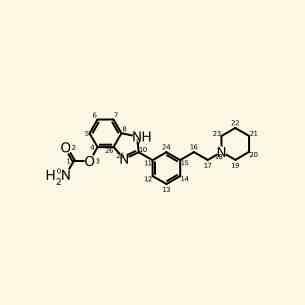 NC(=O)Oc1cccc2[nH]c(-c3cccc(CCN4CCCCC4)c3)nc12